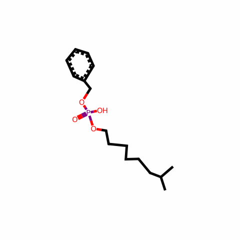 CC(C)CCCCCCOP(=O)(O)OCc1ccccc1